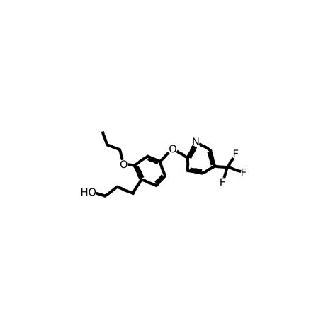 CCCOc1cc(Oc2ccc(C(F)(F)F)cn2)ccc1CCCO